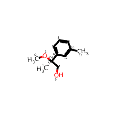 CO[C@](C)(CO)c1cccc(C)c1